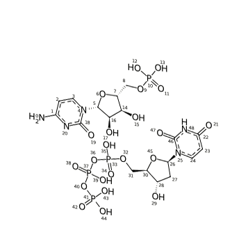 Nc1ccn([C@@H]2O[C@H](COP(=O)(O)O)[C@@H](O)[C@H]2O)c(=O)n1.O=c1ccn([C@H]2C[C@H](O)[C@@H](COP(=O)(O)OP(=O)(O)OP(=O)(O)O)O2)c(=O)[nH]1